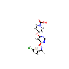 C/C(=N/Oc1ncnc(OC2CCN(C(=O)O)CC2)c1C)c1ccc(Br)s1